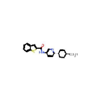 O=C(Nc1ccc([C@H]2CC[C@H](C(=O)O)CC2)nc1)c1cc2ccccc2s1